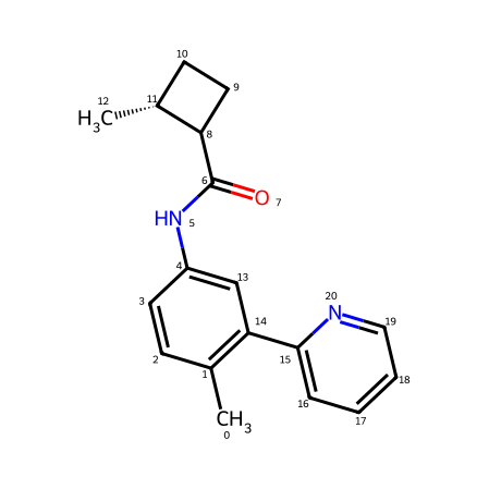 Cc1ccc(NC(=O)C2CC[C@H]2C)cc1-c1ccccn1